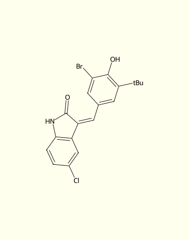 CC(C)(C)c1cc(/C=C2\C(=O)Nc3ccc(Cl)cc32)cc(Br)c1O